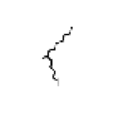 CCCCCCCC(C)CCCCI